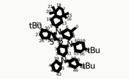 Cc1cc2c3c(c1)N(c1ccc4c(c1)C(C)(C)CCC4(C)C)c1c(sc4ccc(C(C)(C)C)cc14)B3c1ccc(N(c3ccccc3)c3ccc(C(C)(C)C)cc3)cc1N2c1ccc(C(C)(C)C)cc1